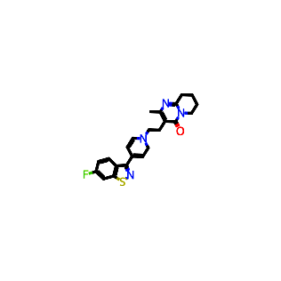 Cc1nc2n(c(=O)c1CCN1C=CC(c3nsc4cc(F)ccc34)=CC1)CCCC2